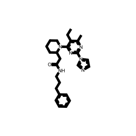 CCc1c(C)nc(-n2ccnc2)nc1N1CCCCC1CC(=O)NCCCc1ccccc1